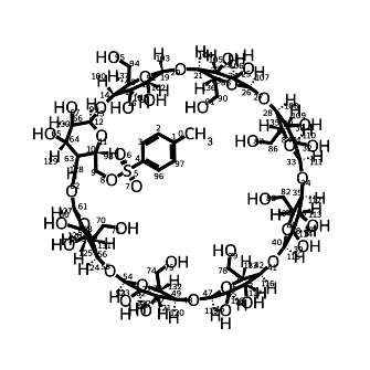 Cc1ccc(S(=O)(=O)OC[C@H]2O[C@@H]3O[C@H]4[C@H](O)[C@@H](O)[C@@H](O[C@H]5[C@H](O)[C@@H](O)[C@@H](O[C@H]6[C@H](O)[C@@H](O)[C@@H](O[C@H]7[C@H](O)[C@@H](O)[C@@H](O[C@H]8[C@H](O)[C@@H](O)[C@@H](O[C@H]9[C@H](O)[C@@H](O)[C@@H](O[C@H]%10[C@H](O)[C@@H](O)[C@@H](O[C@H]2[C@H](O)[C@H]3O)O[C@@H]%10CO)O[C@@H]9CO)O[C@@H]8CO)O[C@@H]7CO)O[C@@H]6CO)O[C@@H]5CO)O[C@@H]4CO)cc1